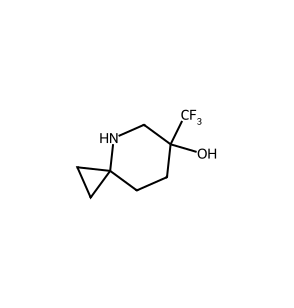 OC1(C(F)(F)F)CCC2(CC2)NC1